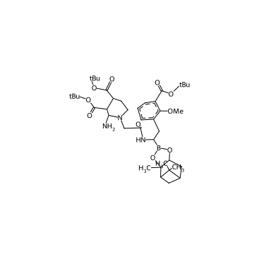 COc1c(CC(NC(=O)CN2CCC(C(=O)OC(C)(C)C)C(C(=O)OC(C)(C)C)C2N)B2OC3CC4CC(C4(C)C)C3(C)O2)cccc1C(=O)OC(C)(C)C